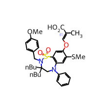 CCCCC1(CCCC)CN(c2ccccc2)c2cc(SC)c(O/C=C(\C)C(=O)O)cc2S(=O)(=O)N1Cc1ccc(OC)cc1